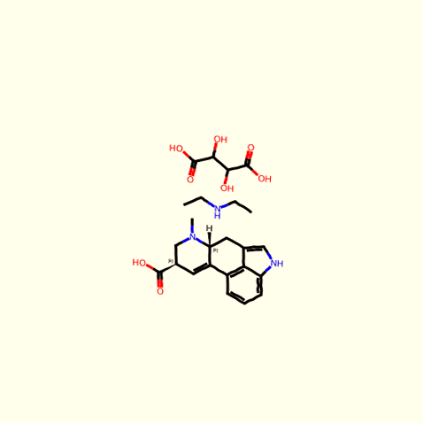 CCNCC.CN1C[C@H](C(=O)O)C=C2c3cccc4[nH]cc(c34)C[C@H]21.O=C(O)C(O)C(O)C(=O)O